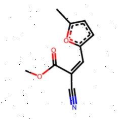 COC(=O)C(C#N)=Cc1ccc(C)o1